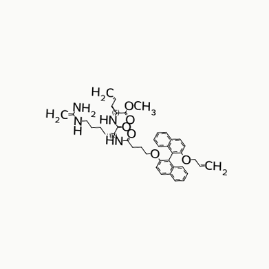 C=CCOc1ccc2ccccc2c1-c1c(OCCCC(=O)N[C@H](CCCCNC(=C)N)C(=O)N[C@@H](CC=C)C(=O)OC)ccc2ccccc12